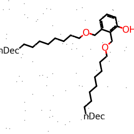 CCCCCCCCCCCCCCCCCCOCc1cccc(O)c1COCCCCCCCCCCCCCCCCCC